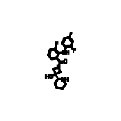 Cc1ccc(Nc2c(F)cccc2C(=O)N2CC(O)([C@@H]3CCCCN3)C2)c(F)c1